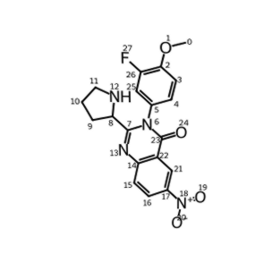 COc1ccc(-n2c(C3CCCN3)nc3ccc([N+](=O)[O-])cc3c2=O)cc1F